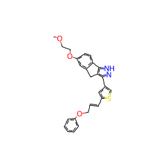 COCCOc1ccc2c(c1)Cc1c(-c3csc(C=CCOc4ccccc4)c3)n[nH]c1-2